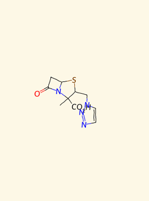 CC1(C(=O)O)C(Cn2ccnn2)SC2CC(=O)N21